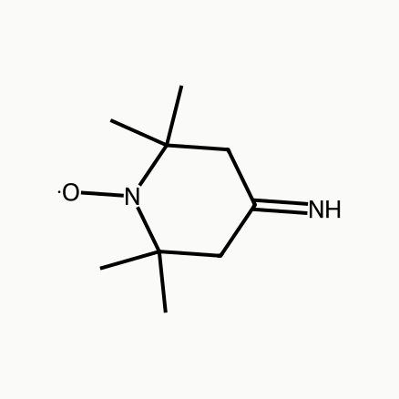 CC1(C)CC(=N)CC(C)(C)N1[O]